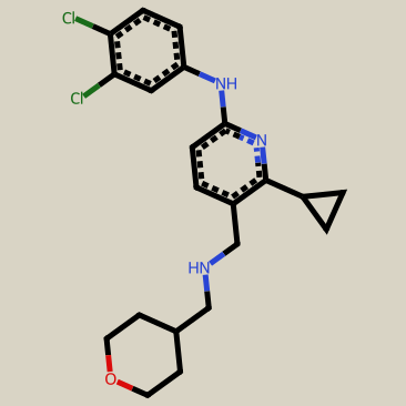 Clc1ccc(Nc2ccc(CNCC3CCOCC3)c(C3CC3)n2)cc1Cl